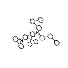 C1=CC(c2ccccc2)CC(C2=CC(N(c3cccc(-c4ccccc4-c4ccccc4)c3)c3ccc4c(c3)C(C3CCCC3)(C3CCCC3)c3cc(-n5c6ccccc6c6ccccc65)ccc3-4)=CCC2)=C1